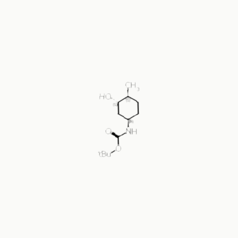 C[C@H]1CC[C@@H](NC(=O)OC(C)(C)C)C[C@@H]1O